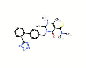 CCCCC1N(C)C(C)=C(C(=S)N(C)C)C(=O)N1Cc1ccc(-c2ccccc2-c2nnn[nH]2)cc1